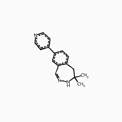 CC1(C)Cc2ccc(-c3ccncc3)cc2C=NN1